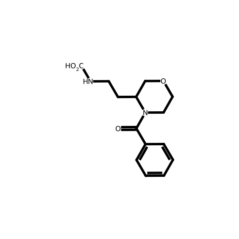 O=C(O)NCCC1COCCN1C(=O)c1ccccc1